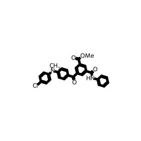 COC(=O)c1cc(C(=O)Nc2ccccc2)cc(C(=O)c2ccc(N(C)c3ccc(Cl)cc3)cc2)c1